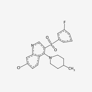 CC1CCN(c2c(S(=O)(=O)c3cccc(F)c3)cnc3cc(Cl)ccc23)CC1